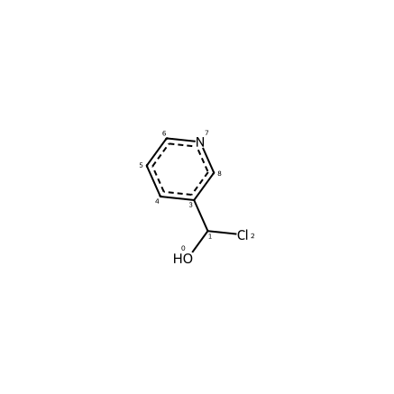 OC(Cl)c1cccnc1